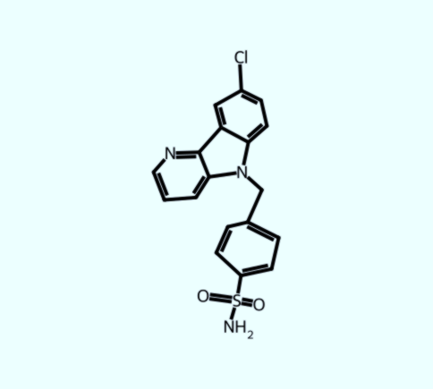 NS(=O)(=O)c1ccc(Cn2c3ccc(Cl)cc3c3ncccc32)cc1